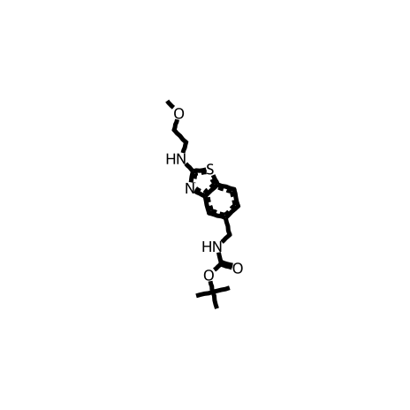 COCCNc1nc2cc(CNC(=O)OC(C)(C)C)ccc2s1